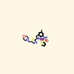 Cc1cc2c(c(N(C)S(=O)(=O)c3cccs3)c1)NC(C1=NCC(CN3CCOCC3)S1)C2